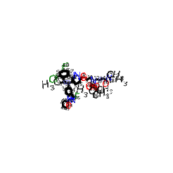 CC/C(=C(/c1ccc(OCCN(C/C=C/C(=O)N(C)C)C(=O)OC(C)(C)C)nc1)c1ccc2c(c1)c(F)nn2C1CCCCO1)c1ccc(F)cc1Cl